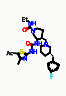 CCNC(=O)N1CC[C@@H](CN2CCC[C@@H](Cc3ccc(F)cc3)C2)[C@@H](NC(=O)Nc2nc(C)c(C(C)=O)s2)C1